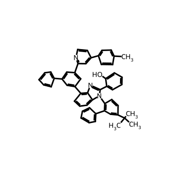 Cc1ccc(-c2ccnc(-c3cc(-c4ccccc4)cc(-c4cccc5c4nc(-c4ccccc4O)n5-c4ccc(C(C)(C)C)cc4-c4ccccc4)c3)c2)cc1